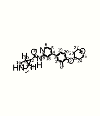 Cc1cc(-c2ccnc(NC(=O)[C@H]3[C@@H]4CNC[C@@H]43)c2)ccc1OC1CCOCC1